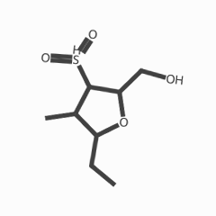 CCC1OC(CO)C([SH](=O)=O)C1C